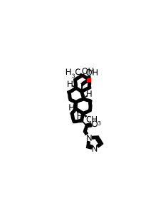 C[C@@]1(O)CC[C@@]2(CCO)[C@@H](CC[C@H]3[C@@H]4CC[C@H](C(=O)Cn5ccnc5)[C@@]4(C)CC[C@@H]32)C1